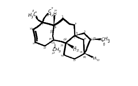 C[C@@H]1C[C@]23CC[C@H]4C(C)(C)C=CC[C@]4(C)[C@H]2CC[C@@H]1C3